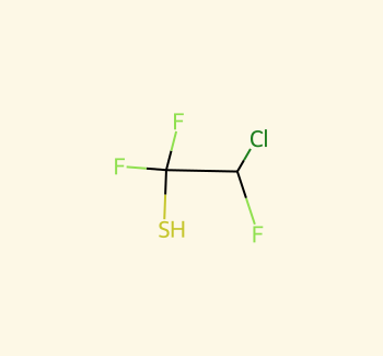 FC(Cl)C(F)(F)S